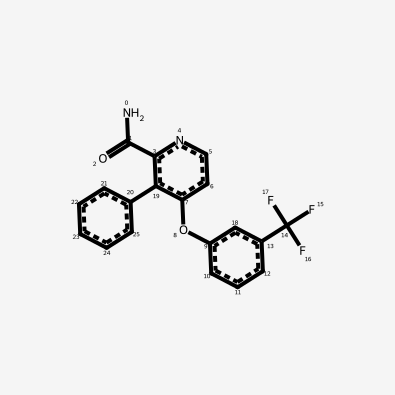 NC(=O)c1nccc(Oc2cccc(C(F)(F)F)c2)c1-c1ccccc1